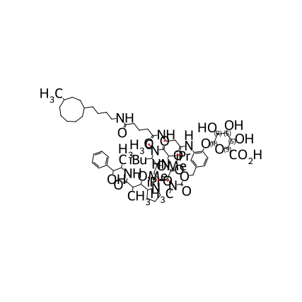 CCC(C)C(C(CC(=O)N1CCCC1C(OC)C(C)C(=O)NC(C)C(O)c1ccccc1)OC)N(C)C(=O)C(NC(=O)C(C(C)C)N(C)C(=O)OCc1ccc(O[C@H]2O[C@H](C(=O)O)[C@@H](O)[C@H](O)[C@H]2O)c(NC(=O)CCNC(=O)CCCC(=O)NCCCCC2CCCCCC(C)CC2)c1)C(C)C